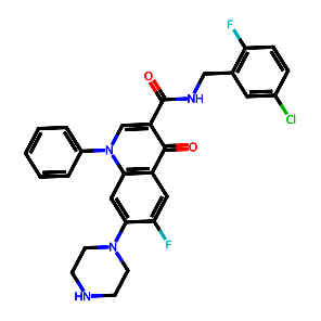 O=C(NCc1cc(Cl)ccc1F)c1cn(-c2ccccc2)c2cc(N3CCNCC3)c(F)cc2c1=O